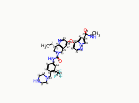 CC[C@H]1CN(C(=O)Nc2ccc(CN3CCNCC3)c(C(F)(F)F)c2)Cc2cc(Oc3ccnn4cc(C(=O)NC)cc34)cnc21